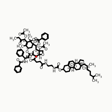 CCC(=O)[C@H](OC(C)=O)C1=C(C)[C@@H](OC(=O)[C@H](OC(=O)CCC(=O)NCCNC(=O)OC2CC[C@@]3(C)C(=CC[C@H]4[C@@H]5CC[C@H]([C@H](C)CCCC(C)C)[C@@]5(C)CC[C@@H]43)C2)[C@@H](NC(=O)c2ccccc2)c2ccccc2)C[C@@](O)([C@@H](OC(=O)c2ccccc2)[C@H]2C[C@@H](O)C[C@H]3OC[C@@]23OC(C)=O)C1(C)C